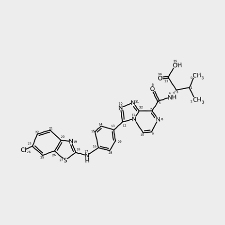 CC(C)[C@H](NC(=O)c1nccn2c(-c3ccc(Nc4nc5ccc(Cl)cc5s4)cc3)nnc12)C(=O)O